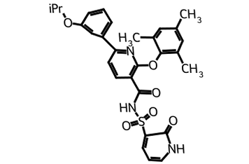 Cc1cc(C)c(Oc2nc(-c3cccc(OC(C)C)c3)ccc2C(=O)NS(=O)(=O)c2ccc[nH]c2=O)c(C)c1